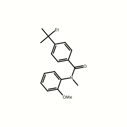 CCC(C)(C)c1ccc(C(=O)N(C)c2ccccc2OC)cc1